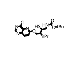 CCCC(COc1ccc2ncnc(Cl)c2n1)C(S)CNC(=O)OC(C)(C)C